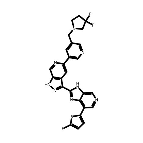 Fc1ccc(-c2cncc3[nH]c(-c4n[nH]c5cnc(-c6cncc(CN7CCC(F)(F)C7)c6)cc45)nc23)s1